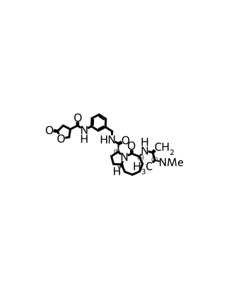 C=C(N[C@H]1CCCC[C@H]2CC[C@@H](C(=O)NCc3cccc(NC(=O)C4COC(=O)C4)c3)N2C1=O)[C@H](C)NC